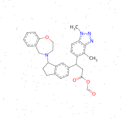 Cc1c(C(CC(=O)OC=O)c2ccc3c(c2)C(N2CCOc4ccccc4C2)CC3)ccc2c1nnn2C